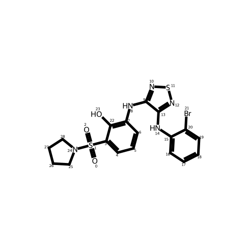 O=S(=O)(c1cccc(Nc2nsnc2Nc2ccccc2Br)c1O)N1CCCC1